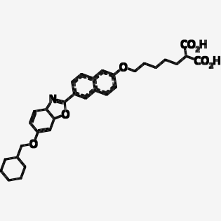 O=C(O)C(CCCCCOc1ccc2cc(C3=NC4C=CC(OCC5CCCCC5)=CC4O3)ccc2c1)C(=O)O